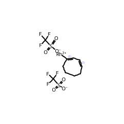 O=S(=O)([O-])C(F)(F)F.O=S(=O)([O-])C(F)(F)F.[Rh+2]/[C]1=C/C=C\CCCC1